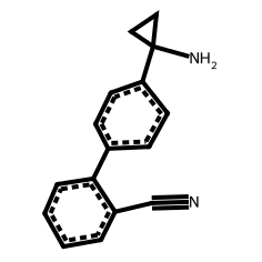 N#Cc1ccccc1-c1ccc(C2(N)CC2)cc1